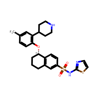 O=S(=O)(Nc1nccs1)c1ccc2c(c1)CCC[C@@H]2Oc1ccc(C(F)(F)F)cc1C1CCNCC1